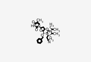 Cc1cn([C@H]2C[C@H](OP(OCCC#N)N(C(C)C)C(C)C)[C@@H](COCc3ccccc3)O2)c(=O)[nH]c1=O